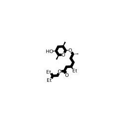 CCC(CC)COC(=O)C[C@H](CC)CC[C@@H](C)O[C@@H]1O[C@@H](C)[C@H](O)C[C@H]1C